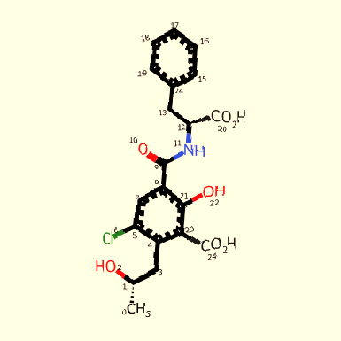 C[C@H](O)Cc1c(Cl)cc(C(=O)N[C@@H](Cc2ccccc2)C(=O)O)c(O)c1C(=O)O